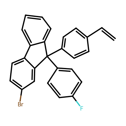 C=Cc1ccc(C2(c3ccc(F)cc3)c3ccccc3-c3ccc(Br)cc32)cc1